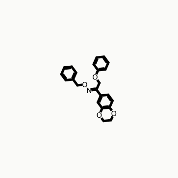 c1ccc(CON=C(COc2ccccc2)c2ccc3c(c2)OCCO3)cc1